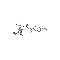 C=CCC(NC(=O)OC(C)(C)C)C(=O)OCC(=O)c1ccc2nc(C)ccc2c1